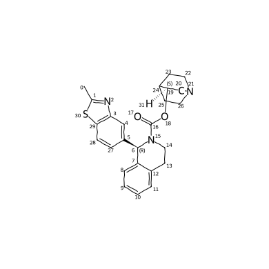 Cc1nc2cc([C@@H]3c4ccccc4CCN3C(=O)O[C@@H]3CN4CCC3CC4)ccc2s1